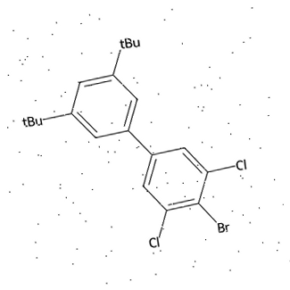 CC(C)(C)c1cc(-c2cc(Cl)c(Br)c(Cl)c2)cc(C(C)(C)C)c1